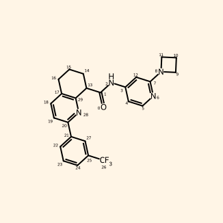 O=C(Nc1ccnc(N2CCC2)c1)C1CCCc2ccc(-c3cccc(C(F)(F)F)c3)nc21